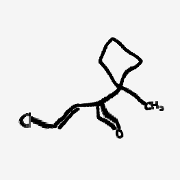 CC1(C(=O)C=CCl)CCC1